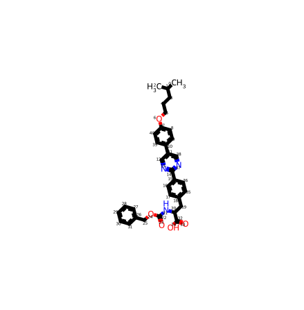 CC(C)CCCOc1ccc(-c2cnc(-c3ccc(CC(NC(=O)OCc4ccccc4)C(=O)O)cc3)nc2)cc1